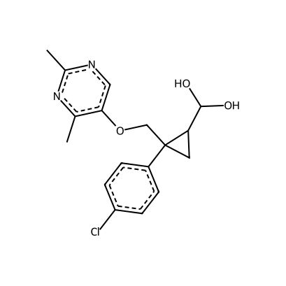 Cc1ncc(OCC2(c3ccc(Cl)cc3)CC2C(O)O)c(C)n1